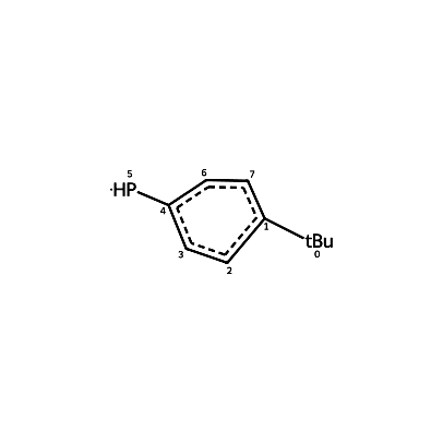 CC(C)(C)c1ccc([PH])cc1